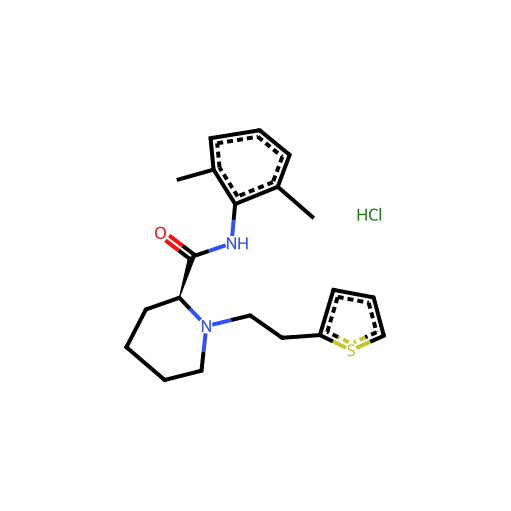 Cc1cccc(C)c1NC(=O)[C@@H]1CCCCN1CCc1cccs1.Cl